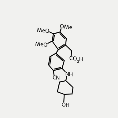 COc1cc(CC(=O)O)c(-c2ccc(C#N)c(NC3CCC(O)CC3)c2)c(OC)c1OC